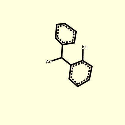 CC(=O)c1ccccc1C(C(C)=O)c1ccccc1